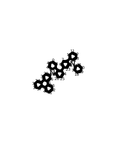 C1=CC2c3c(-c4ccc5c6ccccc6n(-c6ccccc6)c5c4)cccc3N(c3ccc4c5ccccc5c5ccccc5c4c3)C2C=C1